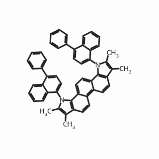 Cc1c(C)n(-c2ccc(-c3ccccc3)c3ccccc23)c2c1ccc1c3ccc4c(C)c(C)n(-c5ccc(-c6ccccc6)c6ccccc56)c4c3ccc12